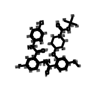 CSc1ccc(C(=O)Nc2ccc(F)cc2C(=O)Nc2ccc(Cl)cn2)c(OC2CCN(C(=O)OC(C)(C)C)CC2)c1